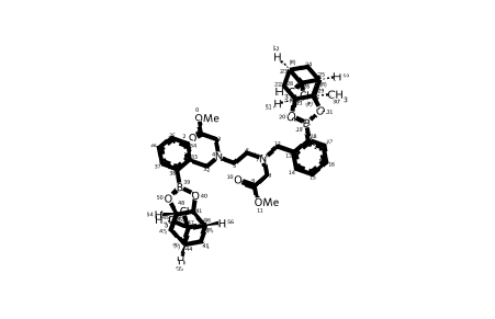 COC(=O)CN(CCN(CC(=O)OC)Cc1ccccc1B1O[C@H]2C[C@H]3C[C@H](C3(C)C)[C@@]2(C)O1)Cc1ccccc1B1OC2[C@H](C[C@H]3C[C@@H]2C3(C)C)O1